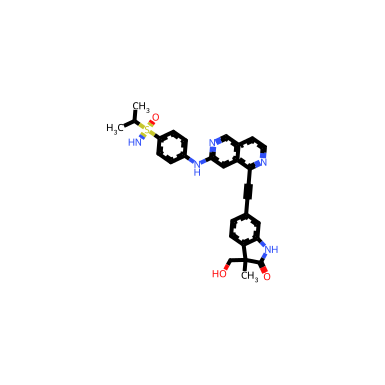 CC(C)S(=N)(=O)c1ccc(Nc2cc3c(C#Cc4ccc5c(c4)NC(=O)C5(C)CO)nccc3cn2)cc1